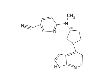 CN(c1ccc(C#N)cn1)[C@@H]1CCN(c2ccnc3[nH]ccc23)C1